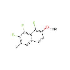 CCCOc1ccc2cc(C)c(F)c(F)c2c1F